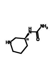 NC(=O)N[C@H]1CCCNC1